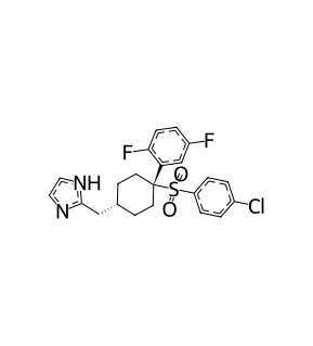 O=S(=O)(c1ccc(Cl)cc1)[C@]1(c2cc(F)ccc2F)CC[C@H](Cc2ncc[nH]2)CC1